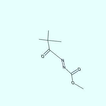 COC(=O)/N=N/C(=O)C(C)(C)C